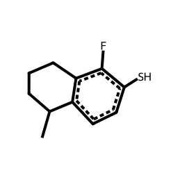 CC1CCCc2c1ccc(S)c2F